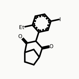 CCc1ccc(I)cc1C1C(=O)C2CCC(C2)C1=O